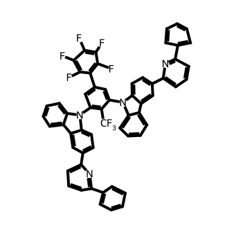 Fc1c(F)c(F)c(-c2cc(-n3c4ccccc4c4cc(-c5cccc(-c6ccccc6)n5)ccc43)c(C(F)(F)F)c(-n3c4ccccc4c4cc(-c5cccc(-c6ccccc6)n5)ccc43)c2)c(F)c1F